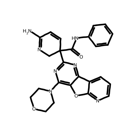 NC1=NCC(C(=O)Nc2ccccc2)(c2nc(N3CCOCC3)c3oc4ncccc4c3n2)C=C1